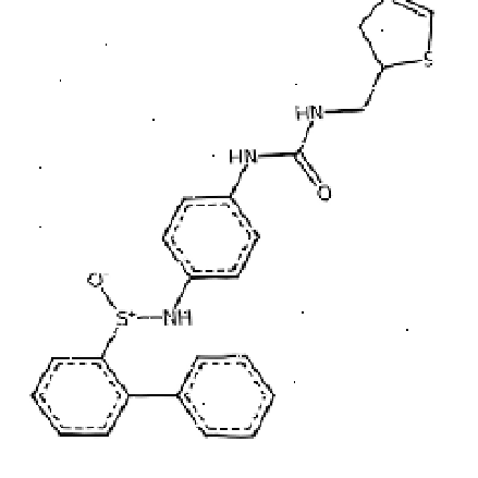 O=C(NCC1CC=CS1)Nc1ccc(N[S+]([O-])c2ccccc2-c2ccccc2)cc1